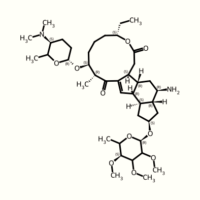 CC[C@H]1CCC[C@H](O[C@H]2CC[C@H](N(C)C)C(C)O2)[C@@H](C)C(=O)C2=C[C@@H]3[C@@H](C[C@@H](N)[C@@H]4C[C@@H](O[C@@H]5OC(C)[C@H](OC)C(OC)C5OC)C[C@@H]34)[C@@H]2CC(=O)O1